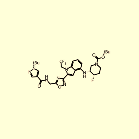 CC(C)(C)OC(=O)N1CC[C@H](F)[C@H](Nc2cccc3c2cc(-c2noc(CNC(=O)c4cnn(C(C)(C)C)c4)n2)n3CC(F)(F)F)C1